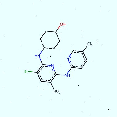 N#Cc1ccc(Nc2nc(NC3CCC(O)CC3)c(Br)cc2[N+](=O)[O-])nc1